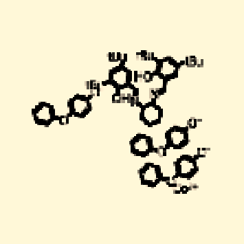 CC(C)(C)c1cc(C=NC2CCCCC2N=Cc2cc(C(C)(C)C)cc(C(C)(C)C)c2O)c(O)c(C(C)(C)C)c1.[Co+3].[O-]c1ccc(Oc2ccccc2)cc1.[O-]c1ccc(Oc2ccccc2)cc1.[O-]c1ccc(Oc2ccccc2)cc1